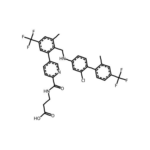 Cc1cc(C(F)(F)F)ccc1-c1ccc(NCc2c(C)cc(C(F)(F)F)cc2-c2ccc(C(=O)NCCC(=O)O)nc2)cc1Cl